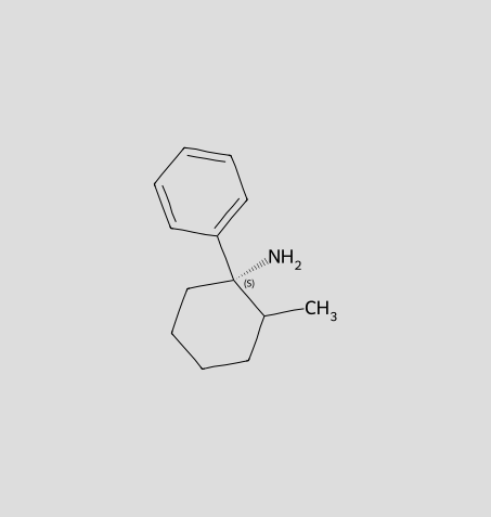 CC1CCCC[C@@]1(N)c1ccccc1